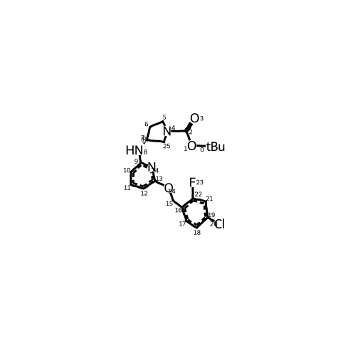 CC(C)(C)OC(=O)N1CC[C@@H](Nc2cccc(OCc3ccc(Cl)cc3F)n2)C1